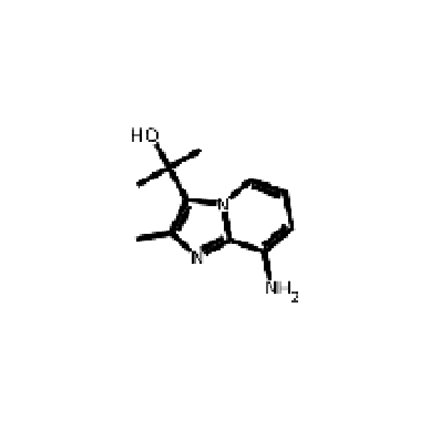 Cc1nc2c(N)cccn2c1C(C)(C)O